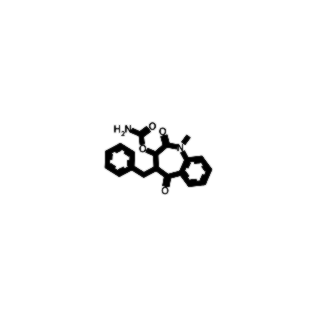 CN1C(=O)C(OC(N)=O)C(Cc2ccccc2)C(=O)c2ccccc21